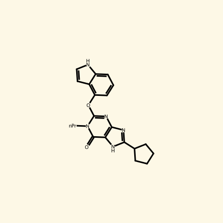 CCCn1c(Oc2cccc3[nH]ccc23)nc2nc(C3CCCC3)[nH]c2c1=O